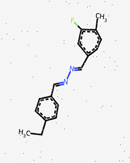 CCc1ccc(/C=N/N=C/c2ccc(C)c(F)c2)cc1